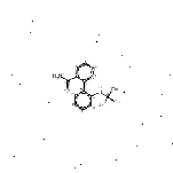 NC(=O)c1ccnnc1-c1ccccc1OC(F)(F)F